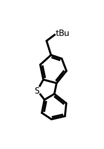 CC(C)(C)Cc1ccc2c(c1)sc1ccccc12